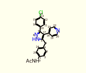 CC(=O)Nc1ccc(Cc2[nH]nc(-c3ccc(Cl)cc3)c2-c2ccncc2)cc1